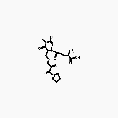 CN(C(=O)O)C(=O)C(CSCC(=O)C(=O)N1CCCC1)NC(=O)CCC(N)C(=O)O